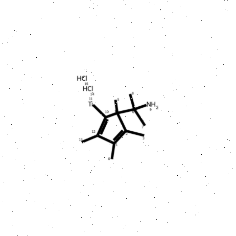 CC1=C(C)C(C)(C(C)(C)N)[C]([Ti])=C1C.Cl.Cl